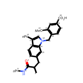 CCCNC(=O)C(C)Cc1ccc2c(CCC)cn(Cc3ccc(C(=O)O)cc3OC)c2c1